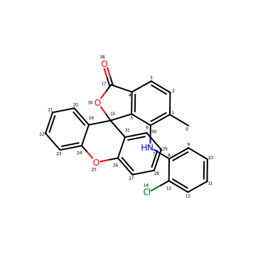 Cc1ccc2c(c1Nc1ccccc1Cl)C1(OC2=O)c2ccccc2Oc2ccccc21